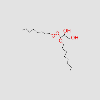 CCCCCCCCOOC(OCCCCCCCC)C(O)CO